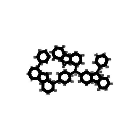 c1ccc(-c2cccc3c2sc2c(-c4ccc(N(c5ccc6c7ccccc7n(-c7ccccc7)c6c5)c5cccc6c5oc5ccccc56)cc4)cccc23)cc1